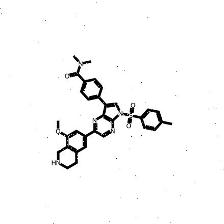 COc1cc(-c2cnc3c(n2)c(-c2ccc(C(=O)N(C)C)cc2)cn3S(=O)(=O)c2ccc(C)cc2)cc2c1CNCC2